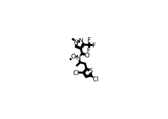 CON(C(=O)c1cn(C)nc1C(F)(F)F)C(C)Cc1sc(Cl)cc1Cl